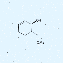 COCC1CCC=C[C@H]1O